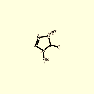 CCCN1N=CN(C(C)(C)C)C1Cl